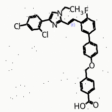 CCn1cc(-c2ccc(Cl)cc2Cl)nc1/C=C/c1cc(-c2ccc(OCc3ccc(C(=O)O)cc3)cc2)ccc1F